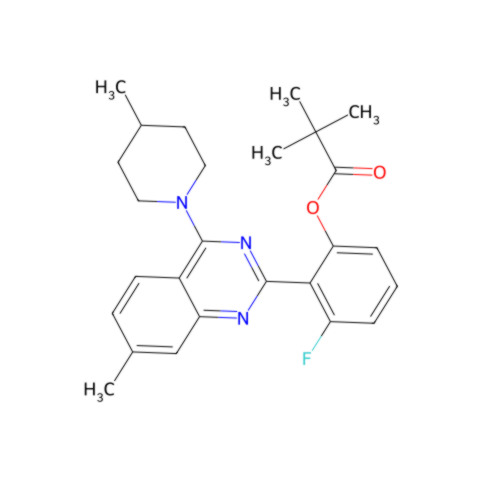 Cc1ccc2c(N3CCC(C)CC3)nc(-c3c(F)cccc3OC(=O)C(C)(C)C)nc2c1